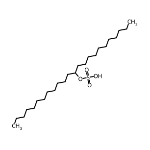 CCCCCCCCCCCCC(CCCCCCCCCCC)OS(=O)(=O)O